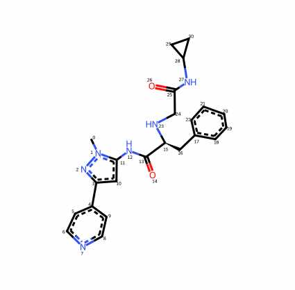 Cn1nc(-c2ccncc2)cc1NC(=O)[C@H](Cc1ccccc1)NCC(=O)NC1CC1